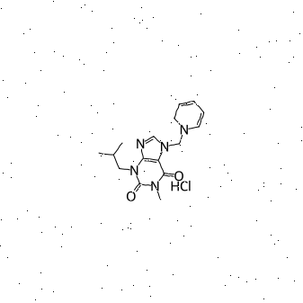 CC(C)Cn1c(=O)n(C)c(=O)c2c1ncn2CN1C=CC=CC1.Cl